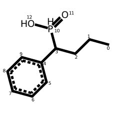 CCCC(c1ccccc1)[PH](=O)O